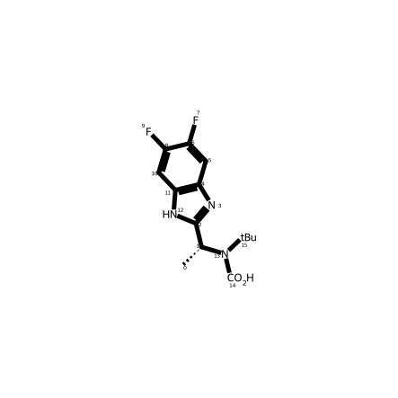 C[C@H](c1nc2cc(F)c(F)cc2[nH]1)N(C(=O)O)C(C)(C)C